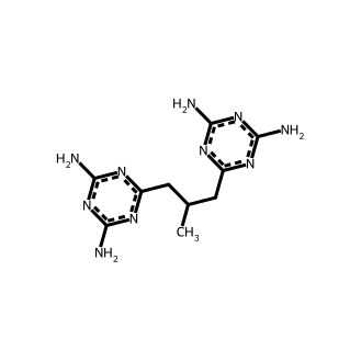 CC(Cc1nc(N)nc(N)n1)Cc1nc(N)nc(N)n1